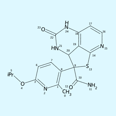 Cc1nc(OC(C)C)ccc1C1(C(N)=O)Sc2nccc3c2C1NC(=O)N3